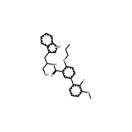 CCCOc1ccc(-c2cccc(OC)c2F)cc1C(=O)NC(CO)Cc1c[nH]c2ccccc12